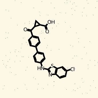 O=C(O)C1CC1C(=O)c1ccc(-c2ccc(Nc3nc4ccc(Cl)cc4s3)cc2)cc1